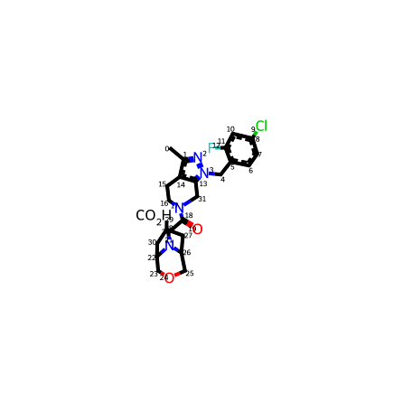 Cc1nn(Cc2ccc(Cl)cc2F)c2c1CCN(C(=O)CN1C3COCC1CC(C(=O)O)C3)C2